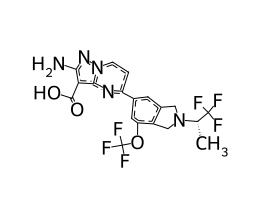 C[C@H](N1Cc2cc(-c3ccn4nc(N)c(C(=O)O)c4n3)cc(OC(F)(F)F)c2C1)C(F)(F)F